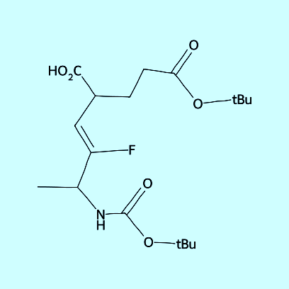 CC(NC(=O)OC(C)(C)C)C(F)=CC(CCC(=O)OC(C)(C)C)C(=O)O